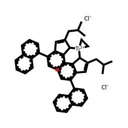 CC(C)CC1=Cc2c(-c3cccc4ccccc34)cccc2[CH]1[Ti+2]1([CH]2C(CC(C)C)=Cc3c(-c4cccc5ccccc45)cccc32)[CH2][CH2]1.[Cl-].[Cl-]